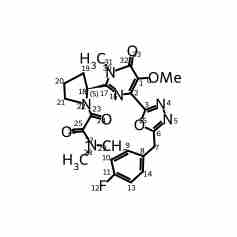 COc1c(-c2nnc(Cc3ccc(F)cc3)o2)nc([C@@H]2CCCN2C(=O)C(=O)N(C)C)n(C)c1=O